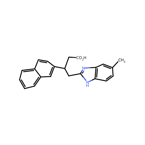 Cc1ccc2[nH]c(CC(CC(=O)O)c3ccc4ccccc4c3)nc2c1